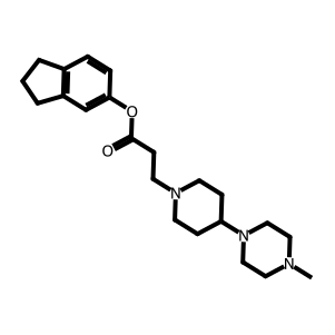 CN1CCN(C2CCN(CCC(=O)Oc3ccc4c(c3)CCC4)CC2)CC1